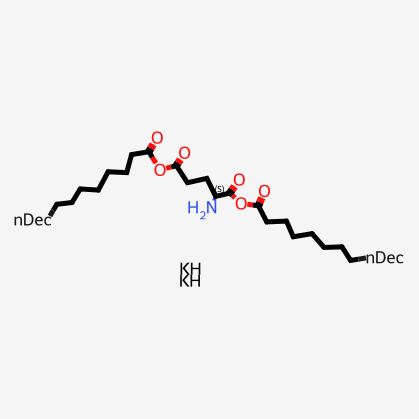 CCCCCCCCCCCCCCCCCC(=O)OC(=O)CC[C@H](N)C(=O)OC(=O)CCCCCCCCCCCCCCCCC.[KH].[KH]